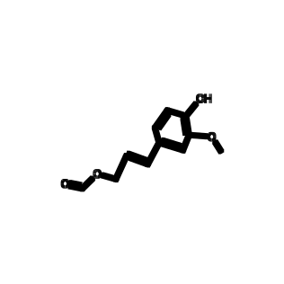 COc1cc(/C=C/COC=O)ccc1O